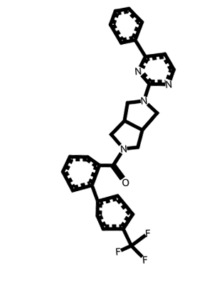 O=C(c1ccccc1-c1ccc(C(F)(F)F)cc1)N1CC2CN(c3nccc(-c4ccccc4)n3)CC2C1